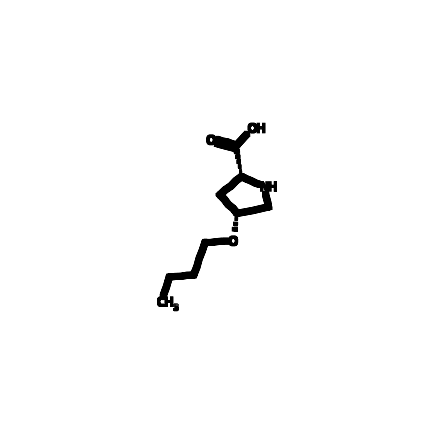 CCCCO[C@H]1CN[C@@H](C(=O)O)C1